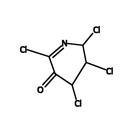 O=C1C(Cl)=NC(Cl)C(Cl)C1Cl